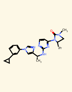 CC(C)C1CN(C)C(=O)N1c1ccnc(N[C@@H](C)c2cn(-c3cccc(C4CC4)c3)cn2)n1